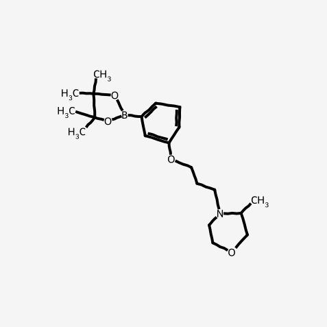 CC1COCCN1CCCOc1cccc(B2OC(C)(C)C(C)(C)O2)c1